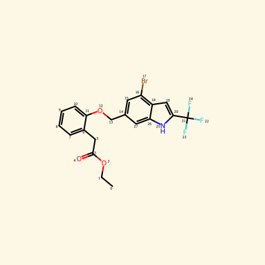 CCOC(=O)Cc1ccccc1OCc1cc(Br)c2cc(C(F)(F)F)[nH]c2c1